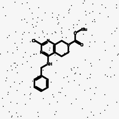 CC(C)(C)OC(=O)N1CCc2c(nc(Cl)nc2NCc2ccccc2)C1